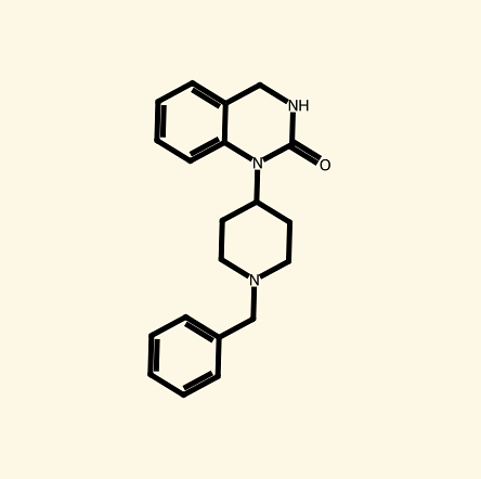 O=C1NCc2ccccc2N1C1CCN(Cc2ccccc2)CC1